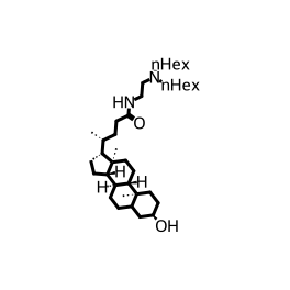 CCCCCCN(CCCCCC)CCNC(=O)CC[C@@H](C)[C@H]1CC[C@H]2[C@@H]3CCC4C[C@H](O)CC[C@]4(C)[C@H]3CC[C@]12C